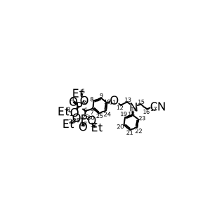 CCOP(=O)(OCC)C(c1ccc(OCCN(CCC#N)c2ccccc2)cc1)P(=O)(OCC)OCC